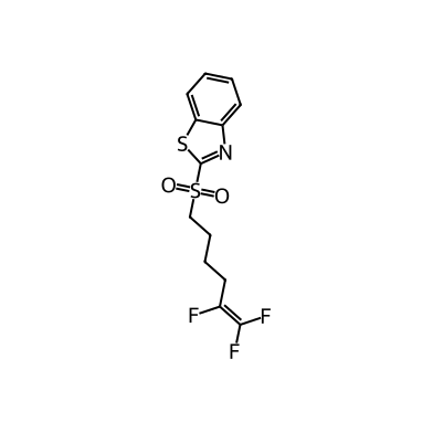 O=S(=O)(CCCCC(F)=C(F)F)c1nc2ccccc2s1